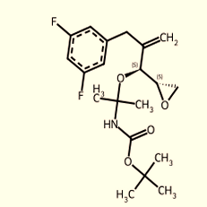 C=C(Cc1cc(F)cc(F)c1)[C@H](OC(C)(C)NC(=O)OC(C)(C)C)[C@@H]1CO1